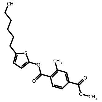 CCCCCCc1ccc(OC(=O)c2ccc(C(=O)OC)cc2C)s1